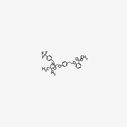 COC(=O)c1ccccc1OCCc1ccc(OCC(=O)N(Cc2ccc(C(F)(F)F)cc2)CC(C)C)cc1